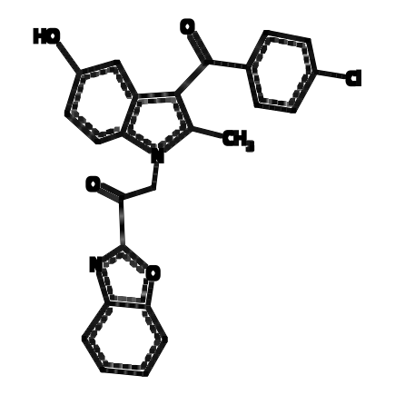 Cc1c(C(=O)c2ccc(Cl)cc2)c2cc(O)ccc2n1CC(=O)c1nc2ccccc2o1